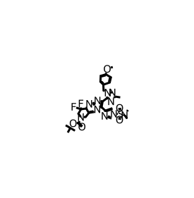 COc1ccc(Cn2nc(C)nc2-c2nc3nc4c(cn3c2-c2cn(S(=O)(=O)N(C)C)cn2)CN(C(=O)OC(C)(C)C)CC4(F)F)cc1